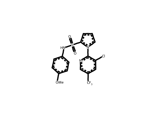 COc1ccc(NS(=O)(=O)c2cccn2-c2ncc(C(F)(F)F)cc2Cl)cc1